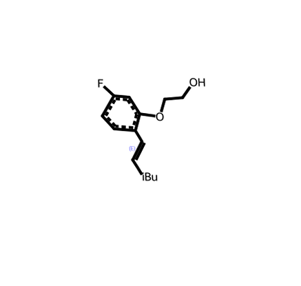 CCC(C)/C=C/c1ccc(F)cc1OCCO